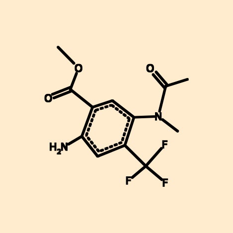 COC(=O)c1cc(N(C)C(C)=O)c(C(F)(F)F)cc1N